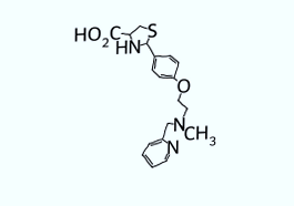 CN(CCOc1ccc(C2NC(C(=O)O)CS2)cc1)Cc1ccccn1